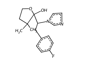 CC1(C)CCOC1(O)C(Cc1ccc(F)cc1)n1ccnc1